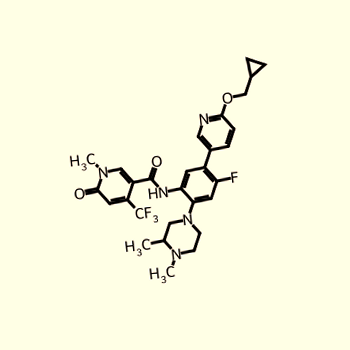 CC1CN(c2cc(F)c(-c3ccc(OCC4CC4)nc3)cc2NC(=O)c2cn(C)c(=O)cc2C(F)(F)F)CCN1C